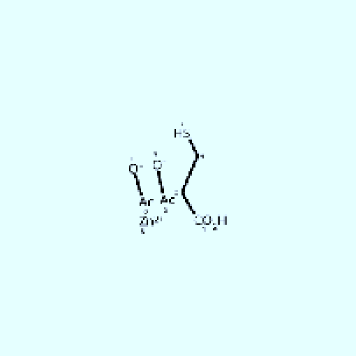 CC(=O)[O-].CC(=O)[O-].O=C(O)CCS.[Zn+2]